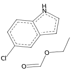 CCOC=O.Clc1ccc2[nH]ccc2c1